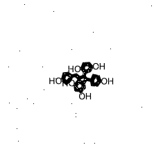 Oc1ccc(C=C2c3c(O)cc(O)cc3C(c3ccc(O)cc3)C2c2cc(O)ccc2O)cc1